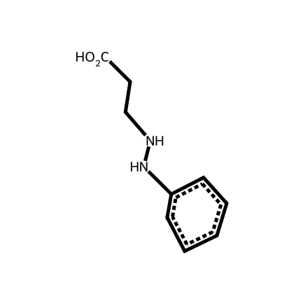 O=C(O)CCNNc1ccccc1